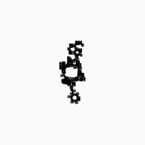 Nc1ncnc2c1ncn2[C@@H]1O[C@@H]2COP(=S)(S)O[C@@H]3[C@H](O)[C@@H](COP(=O)(S)O[C@H]2[C@H]1F)O[C@H]3C#Cc1cccnc1